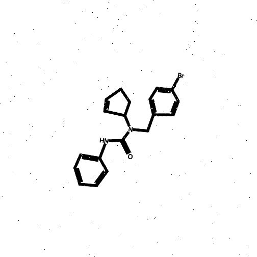 O=C(Nc1ccccc1)N(Cc1ccc(Br)cc1)C1C=CCC1